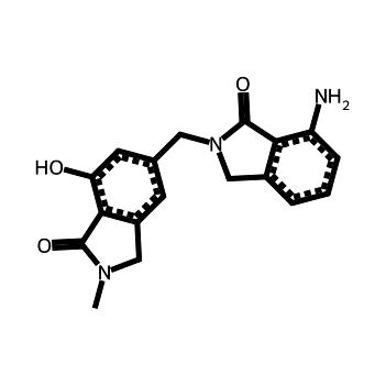 CN1Cc2cc(CN3Cc4cccc(N)c4C3=O)cc(O)c2C1=O